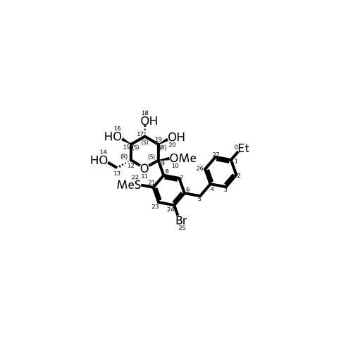 CCc1ccc(Cc2cc([C@]3(OC)O[C@H](CO)[C@@H](O)[C@H](O)[C@H]3O)c(SC)cc2Br)cc1